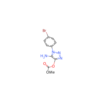 COC(=O)Oc1nnn(-c2ccc(Br)cc2)c1N